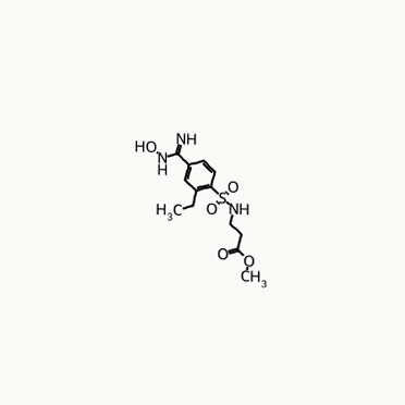 CCc1cc(C(=N)NO)ccc1S(=O)(=O)NCCC(=O)OC